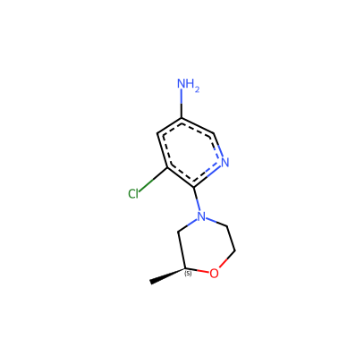 C[C@H]1CN(c2ncc(N)cc2Cl)CCO1